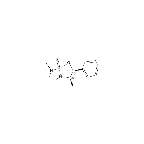 C[C@@H]1[C@H](c2ccccc2)OP(=S)(N(C)C)N1C